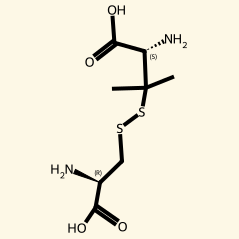 CC(C)(SSC[C@H](N)C(=O)O)[C@@H](N)C(=O)O